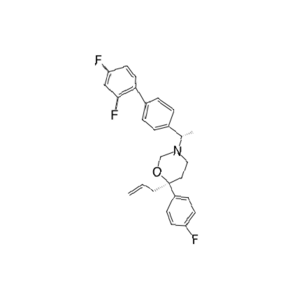 C=CC[C@@]1(c2ccc(F)cc2)CCN([C@@H](C)c2ccc(-c3ccc(F)cc3F)cc2)CO1